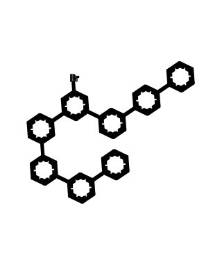 Brc1cc(-c2cccc(-c3ccc(-c4ccccc4)cc3)c2)cc(-c2cccc(-c3cccc(-c4cccc(-c5ccccc5)c4)c3)c2)c1